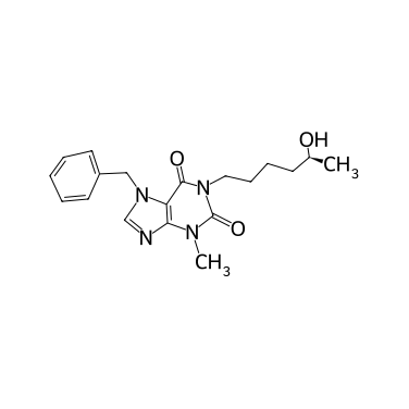 C[C@H](O)CCCCn1c(=O)c2c(ncn2Cc2ccccc2)n(C)c1=O